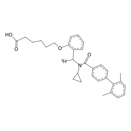 [2H]C(c1ccccc1OCCCCCC(=O)O)N(C(=O)c1ccc(-c2c(C)cccc2C)cc1)C1CC1